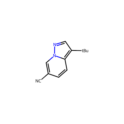 CC(C)(C)c1cnn2cc(C#N)ccc12